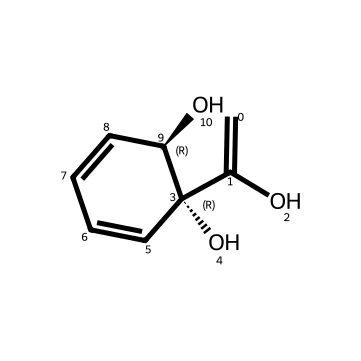 C=C(O)[C@@]1(O)C=CC=C[C@H]1O